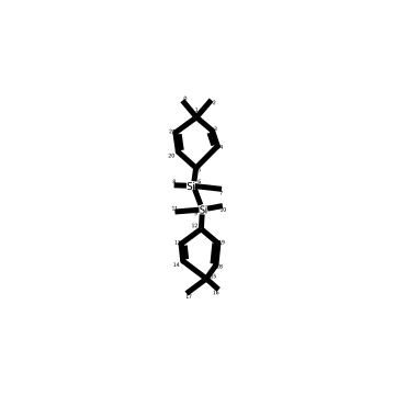 CC1(C)C=CC([Si](C)(C)[Si](C)(C)C2C=CC(C)(C)C=C2)C=C1